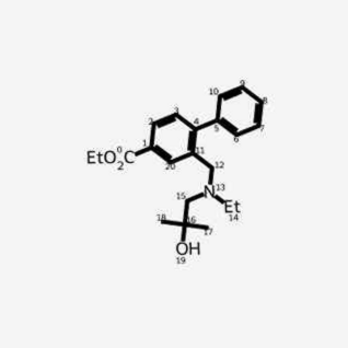 CCOC(=O)c1ccc(-c2ccccc2)c(CN(CC)CC(C)(C)O)c1